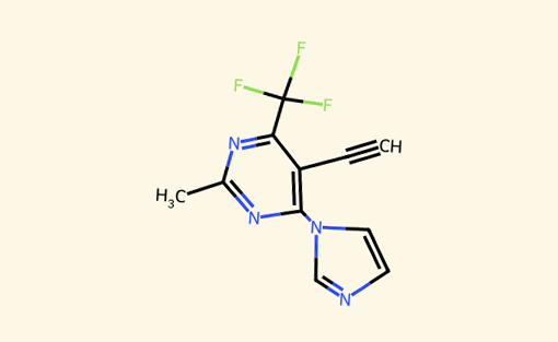 C#Cc1c(-n2ccnc2)nc(C)nc1C(F)(F)F